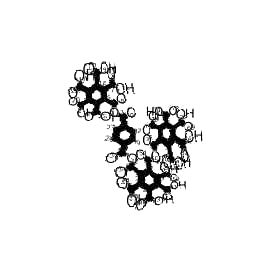 O=C(OC(=O)c1c(C(=O)O)c(C(=O)O)c(C(=O)O)c(C(=O)O)c1C(=O)O)c1ccc(C(=O)OC(=O)c2c(C(=O)O)c(C(=O)O)c(C(=O)O)c(C(=O)O)c2C(=O)OC(=O)c2c(C(=O)O)c(C(=O)O)c(C(=O)O)c(C(=O)O)c2C(=O)O)cc1